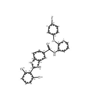 O=C(Nc1cccnc1Oc1ccc(F)cc1)c1ccc2nc(-c3c(Cl)cccc3Cl)[nH]c2c1